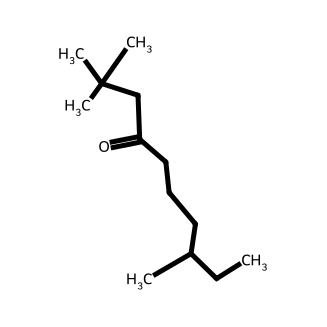 CCC(C)CCCC(=O)CC(C)(C)C